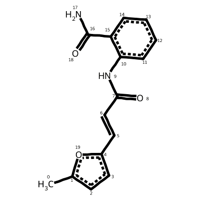 Cc1ccc(/C=C/C(=O)Nc2ccccc2C(N)=O)o1